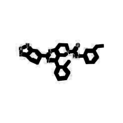 CCc1cccc(NC(=O)N2CCc3nc(-c4ccc5nonc5c4)nc(-c4ccccc4C)c3C2)c1